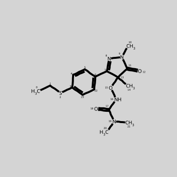 CCSc1ccc(C2=NN(C)C(=O)C2(C)ONC(=O)N(C)C)cc1